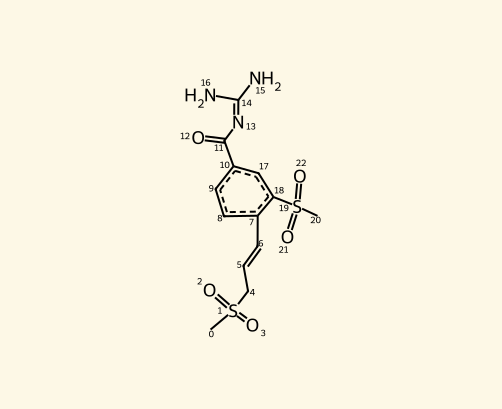 CS(=O)(=O)CC=Cc1ccc(C(=O)N=C(N)N)cc1S(C)(=O)=O